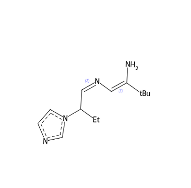 CCC(/C=N\C=C(/N)C(C)(C)C)n1ccnc1